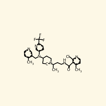 Cc1ccncc1CN(c1ccc(C(F)(F)F)nc1)C1CCN(C(C)CCNC(=O)c2c(C)ccnc2Cl)CC1